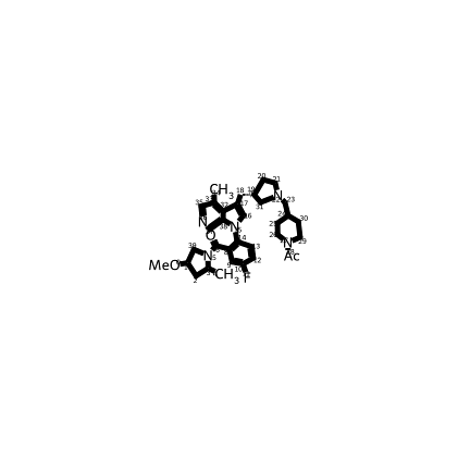 COC1CC(C)N(C(=O)c2cc(F)ccc2-n2cc(C[C@@H]3CCN(CC4CCN(C(C)=O)CC4)C3)c3c(C)cncc32)C1